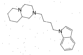 c1ccc2c(c1)ccn2CCCCN1CCN2CCCCC2C1